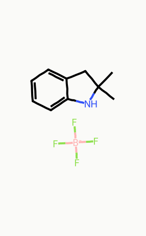 CC1(C)Cc2ccccc2N1.F[B-](F)(F)F